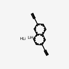 C#Cc1ccc2cc(C#C)ccc2c1.[LiH].[LiH]